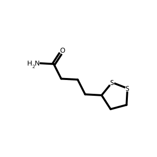 NC(=O)CCCC1CCSS1